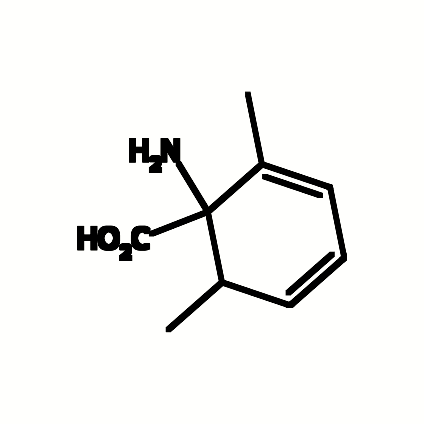 CC1=CC=CC(C)C1(N)C(=O)O